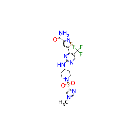 Cn1cnc(S(=O)(=O)N2CCC(Nc3ncc(C(F)(F)F)c(-c4cc(C(N)=O)ns4)n3)CC2)c1